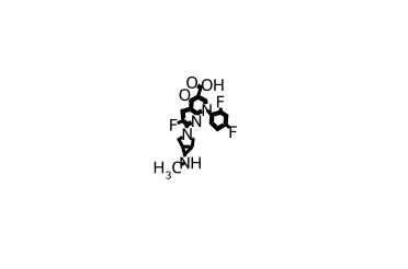 CNC1C2CN(c3nc4c(cc3F)c(=O)c(C(=O)O)cn4-c3ccc(F)cc3F)CC21